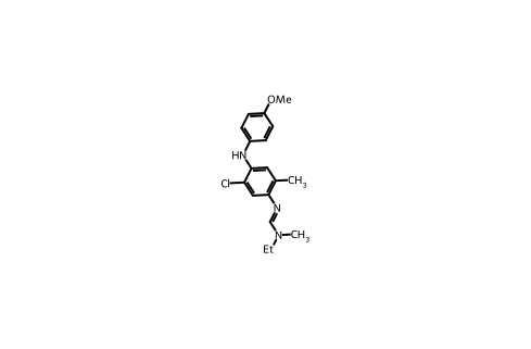 CCN(C)C=Nc1cc(Cl)c(Nc2ccc(OC)cc2)cc1C